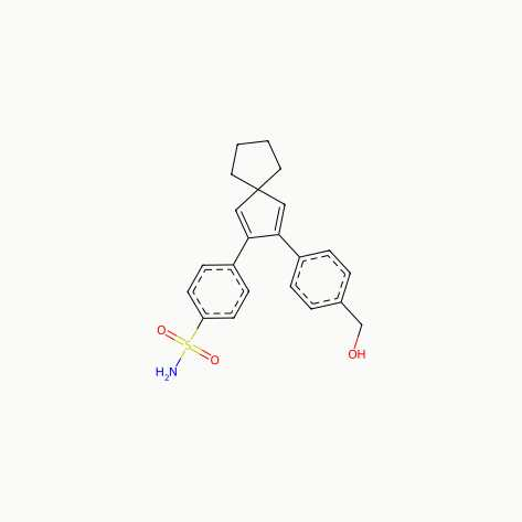 NS(=O)(=O)c1ccc(C2=CC3(C=C2c2ccc(CO)cc2)CCCC3)cc1